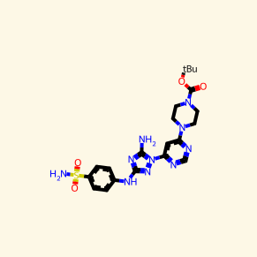 CC(C)(C)OC(=O)N1CCN(c2cc(-n3nc(Nc4ccc(S(N)(=O)=O)cc4)nc3N)ncn2)CC1